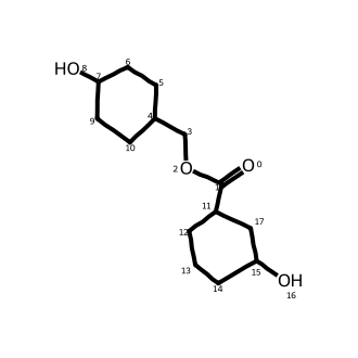 O=C(OCC1CCC(O)CC1)C1CCCC(O)C1